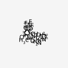 CC(c1ncnn1-c1ncccn1)N(C)C(=O)N(C)c1cc(OC(F)(F)C(F)F)c(Cl)cc1Cl